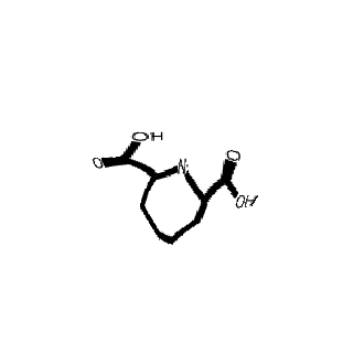 O=C(O)C1CCCC(C(=O)O)[N]1